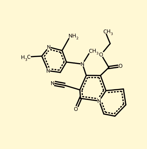 CCOC(=O)c1c(N(C)c2cnc(C)nc2N)c(C#N)c(=O)n2ccccc12